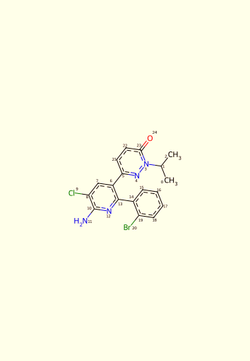 CC(C)n1nc(-c2cc(Cl)c(N)nc2-c2ccccc2Br)ccc1=O